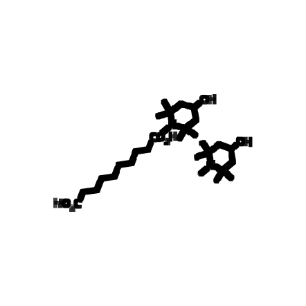 CN1C(C)(C)CC(O)CC1(C)C.CN1C(C)(C)CC(O)CC1(C)C.O=C(O)CCCCCCCCC(=O)O